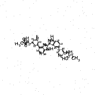 CCC(O)Nc1cncc(-c2ccc3[nH]nc(-c4nc5c(-c6cc(F)cc(CNS(C)(=O)=O)c6)cncc5[nH]4)c3c2)c1